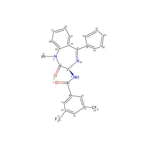 CC(C)N1C(=O)[C@H](NC(=O)c2cc(C(F)(F)F)cc(C(F)(F)F)c2)N=C(c2ccccc2)c2ccccc21